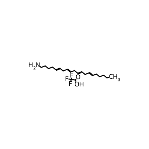 CCCCCC=CCC=CCC=CCC=CCCCCN.O=C(O)C(F)(F)F